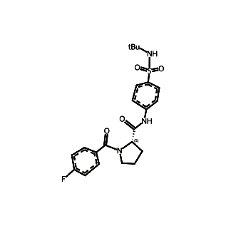 CC(C)(C)NS(=O)(=O)c1ccc(NC(=O)[C@@H]2CCCN2C(=O)c2ccc(F)cc2)cc1